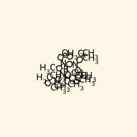 Cc1cc2c3c(c1)N(c1cccc4oc5ccccc5c14)c1ccc(N(c4ccc(C(C)(C)C)cc4)c4ccc(C(C)(C)C)cc4)cc1B3c1cc3c(cc1N2c1ccc2c(c1)C(C)(C)c1ccccc1C2(C)C)C(C)(C)c1ccccc1C3(C)C